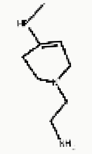 CPC1=CCN(CCN)CC1